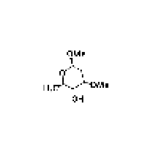 CO[C@H]1C[C@H](OC)[C@H](O)[C@@H](C)O1